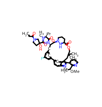 C=CC(=O)N1CC[C@@](O)(C(=O)N(C)[C@H](C(=O)N[C@H]2Cc3cc(F)cc(c3)-c3ccc4c(c3)c(c(-c3cccnc3[C@H](C)OC)n4CC)CC(C)(C)COC(=O)[C@@H]3CCCN(N3)C2=O)C(C)C)C1